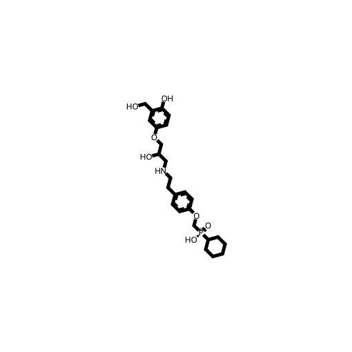 O=[P@@](O)(COc1ccc(CCNCC(O)COc2ccc(O)c(CO)c2)cc1)C1CCCCC1